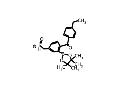 CCc1ccc(C(=O)c2ccc(C[SH](=O)=O)cc2B2OC(C)(C)C(C)(C)O2)cc1